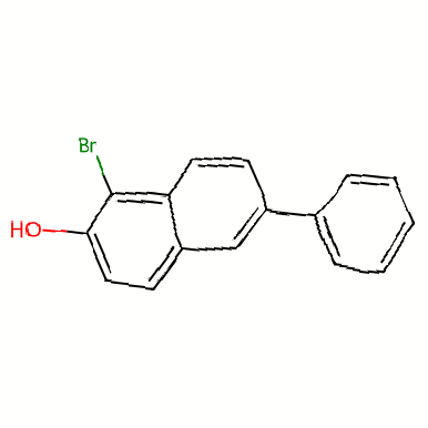 Oc1ccc2cc(-c3ccccc3)ccc2c1Br